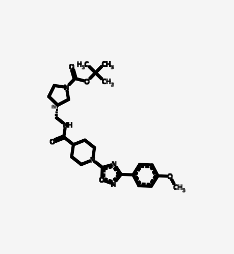 COc1ccc(-c2noc(N3CCC(C(=O)NC[C@@H]4CCN(C(=O)OC(C)(C)C)C4)CC3)n2)cc1